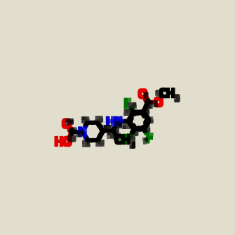 COC(=O)c1cc(F)c(Cl)c(N[C@@H](C)C2CCN(C(=O)O)CC2)c1F